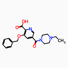 CCN1CCN(C(=O)c2cnc(C(=O)O)c(OCc3ccccc3)c2)CC1